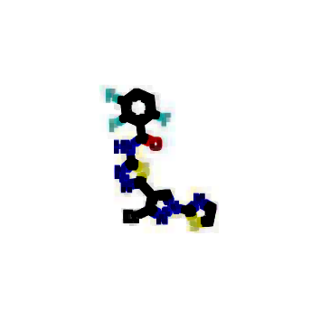 CCc1nn(-c2nccs2)cc1-c1nnc(NC(=O)c2c(F)ccc(F)c2F)s1